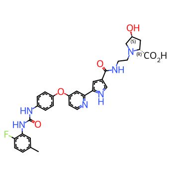 Cc1ccc(F)c(NC(=O)Nc2ccc(Oc3ccnc(-c4cc(C(=O)NCCN5C[C@@H](O)C[C@@H]5C(=O)O)c[nH]4)c3)cc2)c1